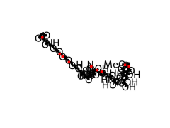 COc1cccc2c1C(=O)c1c(O)c3c(c(O)c1C2=O)C[C@@](O)(C(=O)CO)C[C@@H]3O[C@H]1C[C@H](NC(=O)OCc2ccc(NC(O)[C@@H](CC(N)=O)NC(=O)[C@@H](C)NC(=O)[C@@H](C)NC(=O)CCOCCOCCOCCOCCOCCOCCNC(=O)CCN3C(=O)C=CC3=O)cc2)[C@H](O)[C@H](C)O1